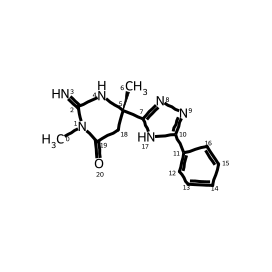 CN1C(=N)N[C@](C)(c2nnc(-c3ccccc3)[nH]2)CC1=O